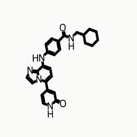 O=C(NCC1CCCCC1)c1ccc(Nc2ccc(-c3cc[nH]c(=O)c3)n3ccnc23)cc1